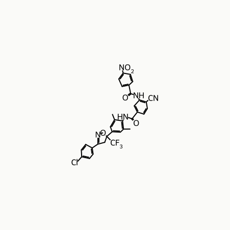 Cc1cc(C2(C(F)(F)F)CC(c3ccc(Cl)cc3)=NO2)cc(C)c1NC(=O)c1ccc(C#N)c(NC(=O)c2ccc([N+](=O)[O-])cc2)c1